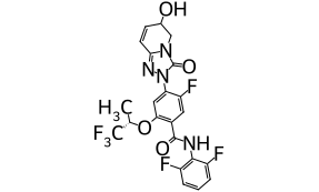 C[C@H](Oc1cc(-n2nc3n(c2=O)CC(O)C=C3)c(F)cc1C(=O)Nc1c(F)cccc1F)C(F)(F)F